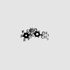 C=C(C)[C@H]1CC[C@@](C)(S[PH](=S)Sc2c(F)c(F)c(F)c(F)c2F)[C@H](O)C1